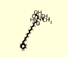 CN(C)C[C@@H](CC(=O)O)NC(=O)CCCCCCCCCCCc1ccccc1